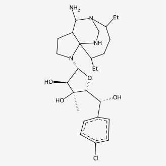 CCC1CCC(CC)C23NCN1C(N)C2CCN3[C@@H]1O[C@H]([C@H](O)c2ccc(Cl)cc2)[C@@](C)(O)[C@H]1O